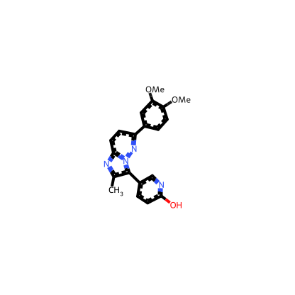 COc1ccc(-c2ccc3nc(C)c(-c4ccc(O)nc4)n3n2)cc1OC